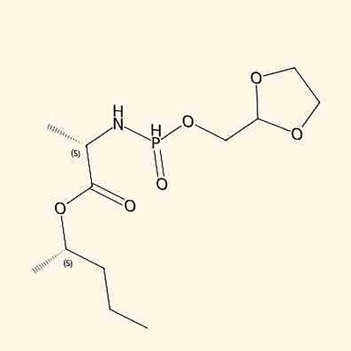 CCC[C@H](C)OC(=O)[C@H](C)N[PH](=O)OCC1OCCO1